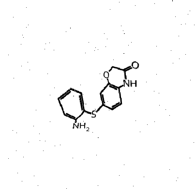 Nc1ccccc1Sc1ccc2c(c1)OCC(=O)N2